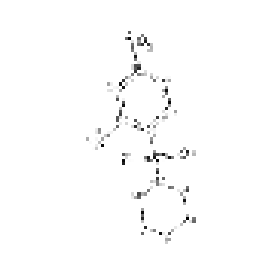 Cc1cc([N+](=O)[O-])ccc1S(=O)(=O)N1CCCCC1